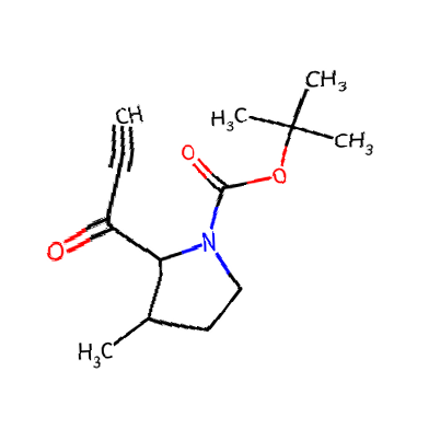 C#CC(=O)C1C(C)CCN1C(=O)OC(C)(C)C